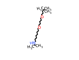 CC(C)NCCCCCCCCOCCCCCOCCCC(C)(C)C